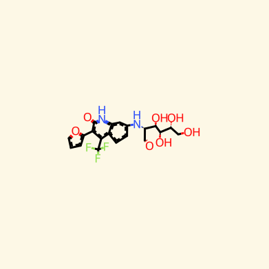 O=C[C@H](Nc1ccc2c(C(F)(F)F)c(-c3ccco3)c(=O)[nH]c2c1)[C@@H](O)[C@H](O)[C@H](O)CO